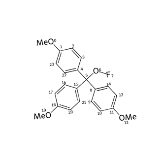 COc1ccc(C(OF)(c2ccc(OC)cc2)c2ccc(OC)cc2)cc1